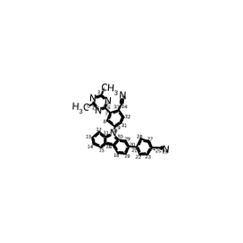 Cc1nc(C)nc(-c2cc(-n3c4ccccc4c4ccc(-c5ccc(C#N)cc5)cc43)ccc2C#N)n1